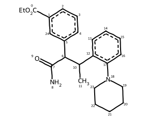 CCOC(=O)c1cccc(C(C(N)=O)C(C)c2ccccc2N2CCCCC2)c1